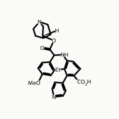 CCc1c(NC(C(=O)O[C@H]2CN3CCC2CC3)c2ccc(OC)cc2)ccc(C(=O)O)c1-c1ccncc1